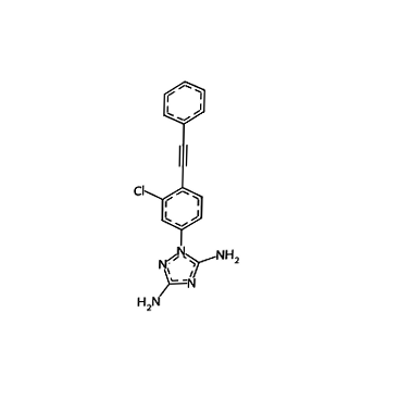 Nc1nc(N)n(-c2ccc(C#Cc3ccccc3)c(Cl)c2)n1